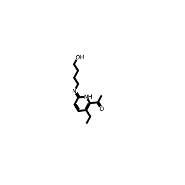 CCc1ccc(=NCCCCO)[nH]c1C(C)=O